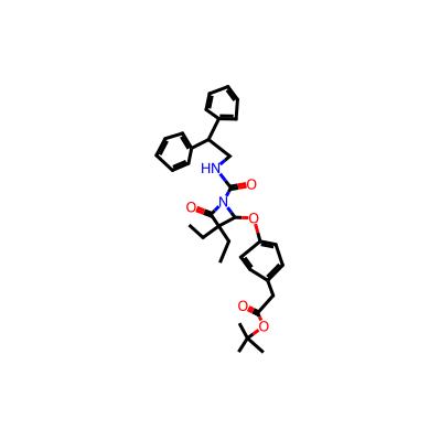 CCC1(CC)C(=O)N(C(=O)NCC(c2ccccc2)c2ccccc2)C1Oc1ccc(CC(=O)OC(C)(C)C)cc1